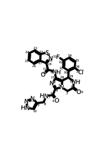 O=C1Cn2c(C(=O)NCc3c[nH]nn3)nc(NC(=O)c3nsc4ccccc34)c2C(c2cc(F)ccc2Cl)N1